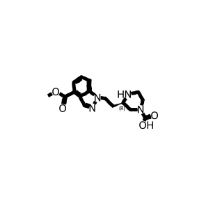 COC(=O)c1cccc2c1cnn2CC[C@@H]1CN(C(=O)O)CCN1